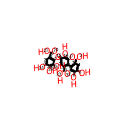 O=C(O)c1cc(O)c(O)cc1-c1cc(O)c(Oc2c(C(=O)O)cc(O)c(O)c2O)cc1C(=O)O